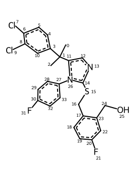 CC(C)(c1ccc(Cl)c(Cl)c1)c1cnc(SCc2ccc(F)cc2CO)n1-c1ccc(F)cc1